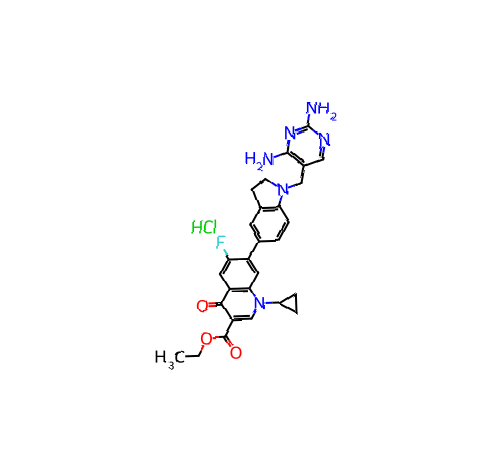 CCOC(=O)c1cn(C2CC2)c2cc(-c3ccc4c(c3)CCN4Cc3cnc(N)nc3N)c(F)cc2c1=O.Cl